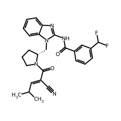 CC(C)/C=C(\C#N)C(=O)N1CCC[C@@H]1Cn1c(NC(=O)c2cccc(C(F)F)c2)nc2ccccc21